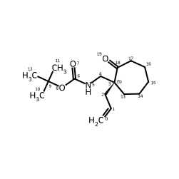 C=CC[C@]1(CNC(=O)OC(C)(C)C)CCCCCC1=O